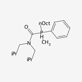 CCCCCCCC[PH](C)(C(=O)N(CC(C)C)CC(C)C)c1ccccc1